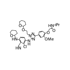 COc1cc(-c2nc(Nc3ccc(NC4CCCCO4)c(C=N)c3Cl)n(CCOC3CCCCO3)n2)ccc1OCC(=O)NC(C)C